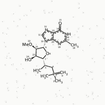 C=P(C)(C)CC(C)[C@H]1O[C@@H](n2cnc3c(=O)[nH]c(C)nc32)[C@H](OC)[C@@H]1O